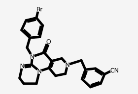 N#Cc1cccc(CN2CCC3=C(C2)C(=O)N(Cc2ccc(Br)cc2)C2=NCCCN23)c1